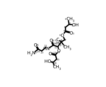 CC(O)CC(=O)OCC(C)(C)C(OC(=O)CC(C)O)C(=O)NCCC(N)=O